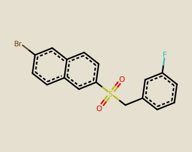 O=S(=O)(Cc1cccc(F)c1)c1ccc2cc(Br)ccc2c1